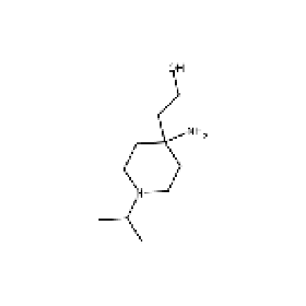 CC(C)N1CCC(N)(CCO)CC1